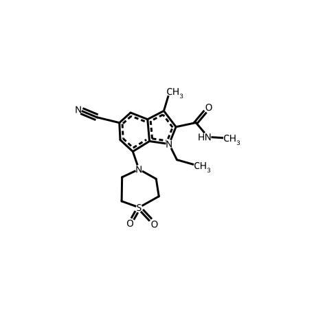 CCn1c(C(=O)NC)c(C)c2cc(C#N)cc(N3CCS(=O)(=O)CC3)c21